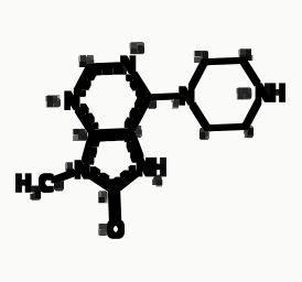 Cn1c(=O)[nH]c2c(N3CCNCC3)ncnc21